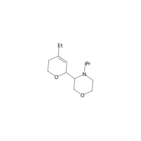 CCC1=CC(C2COCCN2C(C)C)OCC1